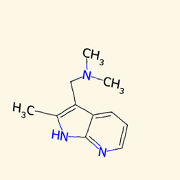 Cc1[nH]c2ncccc2c1CN(C)C